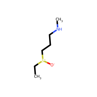 CC[S+]([O-])CCCNC